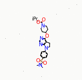 CC(C)OC(=O)N1CCC(Oc2ncnc3c2CCN3c2ccc(S(=O)(=O)N(C)C)cc2)CC1